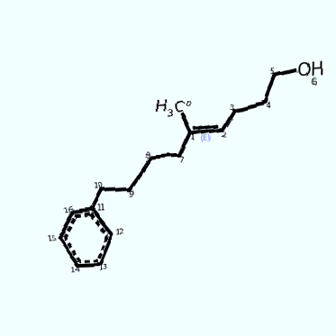 C/C(=C\CCCO)CCCCc1ccccc1